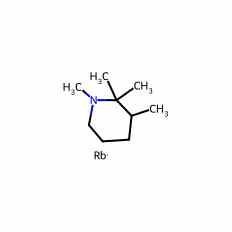 CC1CCCN(C)C1(C)C.[Rb]